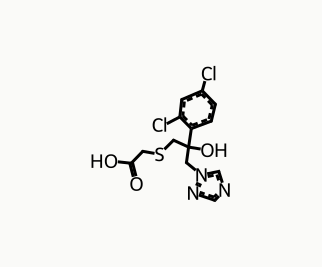 O=C(O)CSCC(O)(Cn1cncn1)c1ccc(Cl)cc1Cl